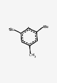 Cc1cc(C(C)(C)C)[c]c(C(C)(C)C)c1